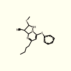 CCCCC1=NC2C(C#N)C(SC)NN2C(Sc2ccccc2)=C1